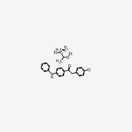 C=C.CCOC(C)OCC.O=C(Cc1ccc(Cl)cc1)c1ccc(Nc2ccccc2)cc1